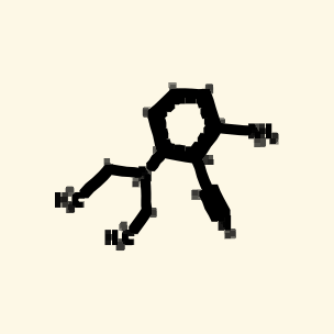 CCN(CC)c1cccc(N)c1C#N